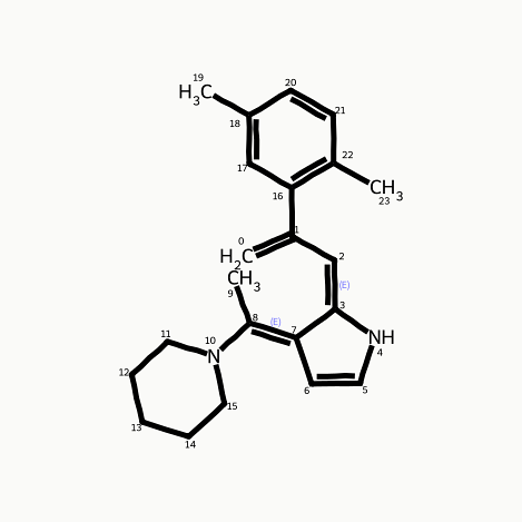 C=C(/C=c1/[nH]cc/c1=C(/C)N1CCCCC1)c1cc(C)ccc1C